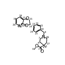 COC(=O)C1(C)CCN(Cc2ccc([C@H]3COc4cccnc4O3)cc2)CC1